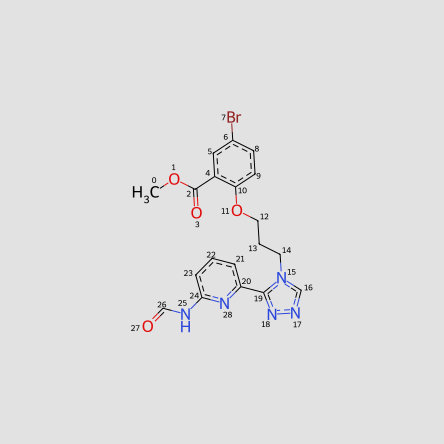 COC(=O)c1cc(Br)ccc1OCCCn1cnnc1-c1cccc(NC=O)n1